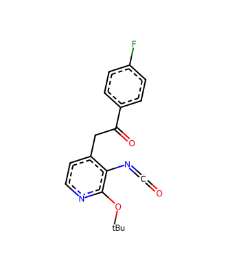 CC(C)(C)Oc1nccc(CC(=O)c2ccc(F)cc2)c1N=C=O